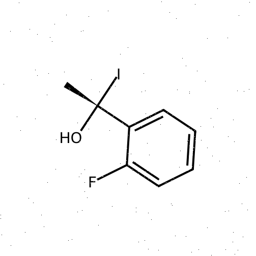 C[C@@](O)(I)c1ccccc1F